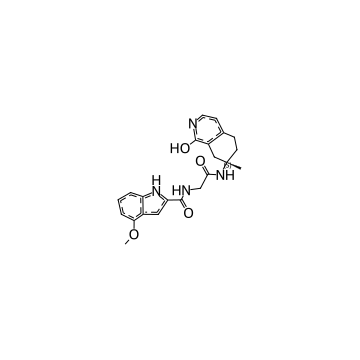 COc1cccc2[nH]c(C(=O)NCC(=O)N[C@@]3(C)CCc4ccnc(O)c4C3)cc12